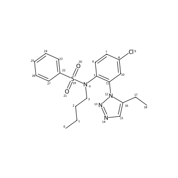 CCCCN(c1ccc(Cl)cc1-n1nncc1CC)S(=O)(=O)c1ccccc1